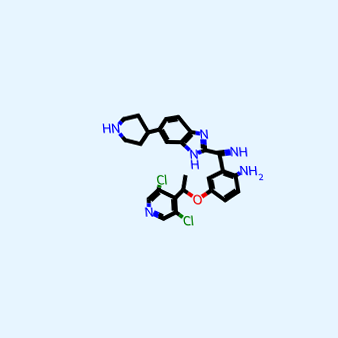 CC(Oc1ccc(N)c(C(=N)c2nc3ccc(C4CCNCC4)cc3[nH]2)c1)c1c(Cl)cncc1Cl